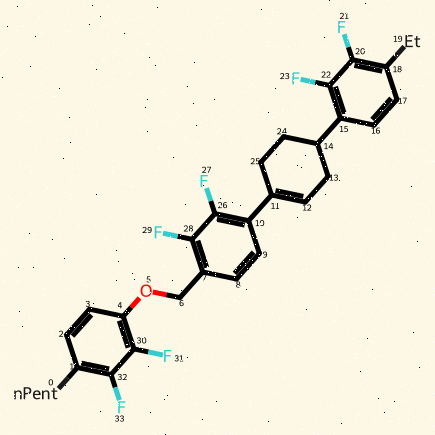 CCCCCc1ccc(OCc2ccc(C3=CCC(c4ccc(CC)c(F)c4F)CC3)c(F)c2F)c(F)c1F